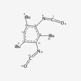 CCC(C)c1cc(C(C)CC)c(N=C=O)c(C(C)CC)c1N=C=O